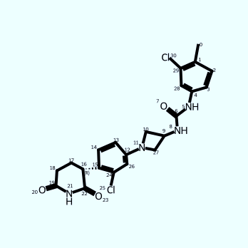 Cc1ccc(NC(=O)NC2CN(c3ccc([C@H]4CCC(=O)NC4=O)c(Cl)c3)C2)cc1Cl